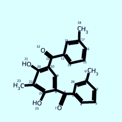 Cc1cccc(C(=O)c2cc(C(=O)c3cccc(C)c3)c(O)c(C)c2O)c1